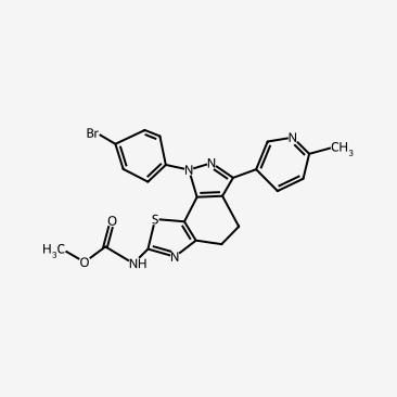 COC(=O)Nc1nc2c(s1)-c1c(c(-c3ccc(C)nc3)nn1-c1ccc(Br)cc1)CC2